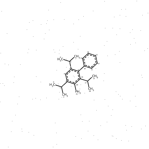 CC(C)c1cc(C(C)C)c(-c2ccccc2)c(C(C)C)c1P